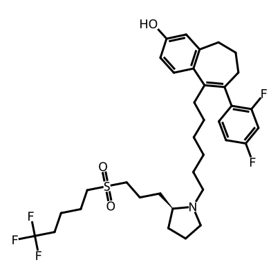 O=S(=O)(CCCCC(F)(F)F)CCC[C@@H]1CCCN1CCCCCCC1=C(c2ccc(F)cc2F)CCCc2cc(O)ccc21